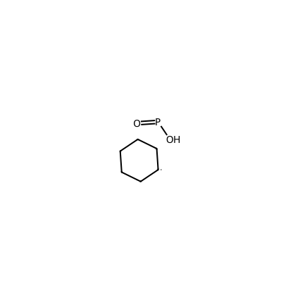 O=PO.[CH]1CCCCC1